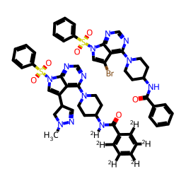 O=C(NC1CCN(c2ncnc3c2c(Br)cn3S(=O)(=O)c2ccccc2)CC1)c1ccccc1.[2H]c1c([2H])c([2H])c(C(=O)N([2H])C2CCN(c3ncnc4c3c(C3C=NN(C)C3)cn4S(=O)(=O)c3ccccc3)CC2)c([2H])c1[2H]